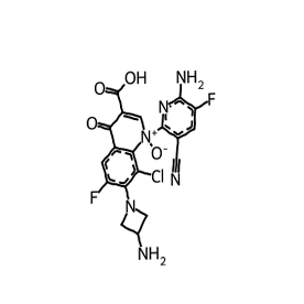 N#Cc1cc(F)c(N)nc1[N+]1([O-])C=C(C(=O)O)C(=O)c2cc(F)c(N3CC(N)C3)c(Cl)c21